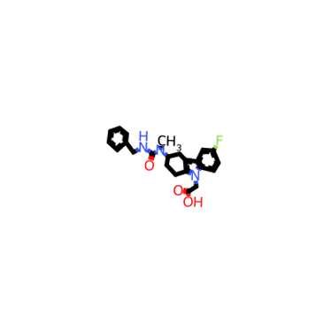 CN(C(=O)NCc1ccccc1)C1CCc2c(c3cc(F)ccc3n2CC(=O)O)C1